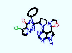 O=c1c2c(Cl)ccn2nc(C2CCCN2c2ncnc3[nH]cc(C4=NCCO4)c23)n1-c1ccccc1